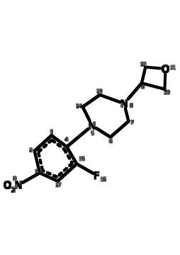 O=[N+]([O-])c1ccc(N2CCN(C3COC3)CC2)c(F)c1